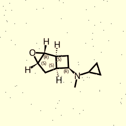 CN(C1CC1)[C@@H]1C[C@H]2[C@@H]1C[C@@H]1O[C@H]21